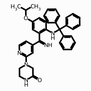 CC(C)Oc1ccc(NC(c2ccccc2)(c2ccccc2)c2ccccc2)c(C(=N)c2ccnc(N3CCNC(=O)C3)c2)c1